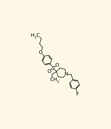 [CH2]CC1(S(=O)(=O)c2ccc(OCCCC)cc2)CCN(Cc2ccc(F)cc2)CC1